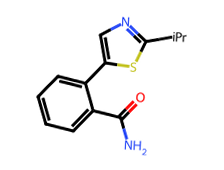 CC(C)c1ncc(-c2ccccc2C(N)=O)s1